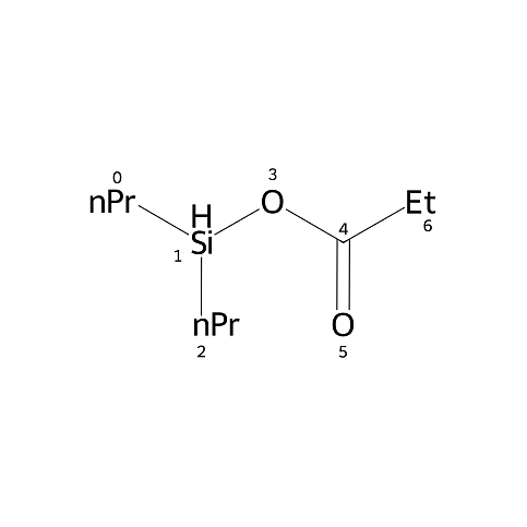 CCC[SiH](CCC)OC(=O)CC